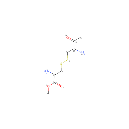 COC(=O)C(N)CSSCC(N)C(C)=O